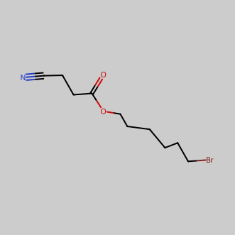 N#CCCC(=O)OCCCCCCBr